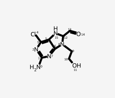 Nc1nc(Cl)c2c(n1)N(CCO)C(C=O)N2